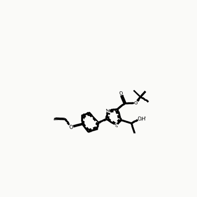 CCOc1ccc(-c2nc(C(=O)OC(C)(C)C)c(C(C)O)s2)cc1